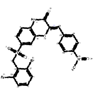 O=C1Nc2ccc(S(=O)(=O)Cc3c(Br)cccc3Br)cc2S/C1=C\c1ccc([N+](=O)[O-])cc1